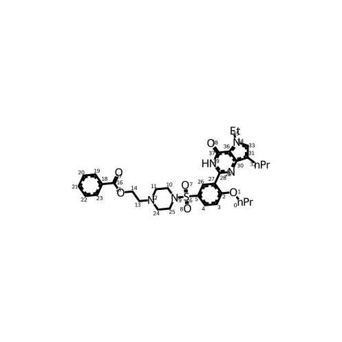 CCCOc1ccc(S(=O)(=O)N2CCN(CCOC(=O)c3ccccc3)CC2)cc1-c1nc2c(CCC)cn(CC)c2c(=O)[nH]1